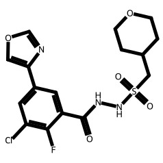 O=C(NNS(=O)(=O)CC1CCOCC1)c1cc(-c2cocn2)cc(Cl)c1F